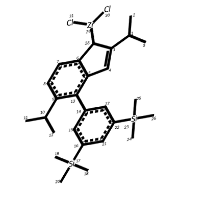 CC(C)C1=Cc2c(ccc(C(C)C)c2-c2cc([Si](C)(C)C)cc([Si](C)(C)C)c2)[CH]1[Zr]([Cl])[Cl]